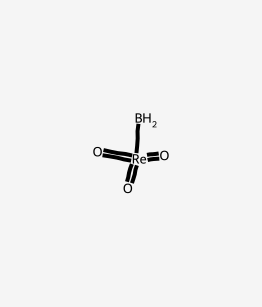 [BH2][Re](=[O])(=[O])=[O]